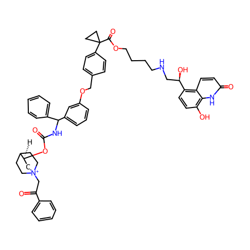 O=C(NC(c1ccccc1)c1cccc(OCc2ccc(C3(C(=O)OCCCCNC[C@@H](O)c4ccc(O)c5[nH]c(=O)ccc45)CC3)cc2)c1)O[C@H]1C[N+]2(CC(=O)c3ccccc3)CCC1CC2